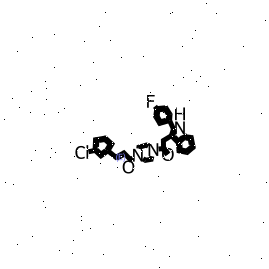 O=C(/C=C/c1cccc(Cl)c1)N1CCN(C(=O)Cc2c(-c3ccc(F)cc3)[nH]c3ccccc23)CC1